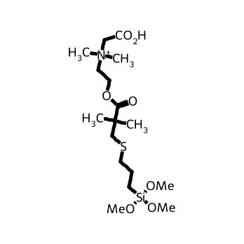 CO[Si](CCCSCC(C)(C)C(=O)OCC[N+](C)(C)CC(=O)O)(OC)OC